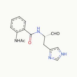 CC(=O)Nc1ccccc1C(=O)N[C@H](C=O)Cc1c[nH]cn1